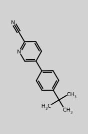 CC(C)(C)c1ccc(-c2ccc(C#N)nc2)cc1